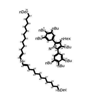 CCCCCCC1=C(c2cc(CCCC)c(CCCC)c(CCCC)c2)[N+](=[N-])C(c2cc(CCCC)c(CCCC)c(CCCC)c2)=C1CCCC.CCCCCCCCCCCCCCCCCCCCC=[CH][Ni][CH]=CCCCCCCCCCCCCCCCCCCCC